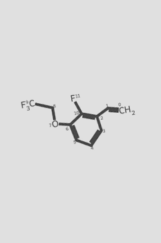 C=Cc1cccc(OCC(F)(F)F)c1F